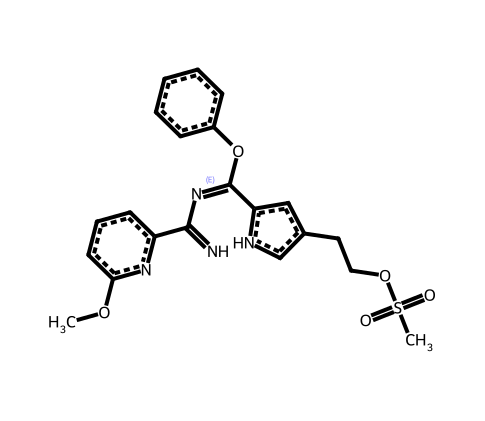 COc1cccc(C(=N)/N=C(/Oc2ccccc2)c2cc(CCOS(C)(=O)=O)c[nH]2)n1